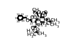 COC(=O)C[C@]1(C=C=O)C(=O)N(OC(C)(C)C)CCN1C(=O)[C@@H](CC(=O)OCc1ccccc1)NC(=O)OC(C)(C)C